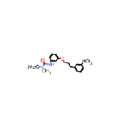 CON(C)C(=O)Nc1cccc(OCCCc2cccc([N+](=O)[O-])c2)c1